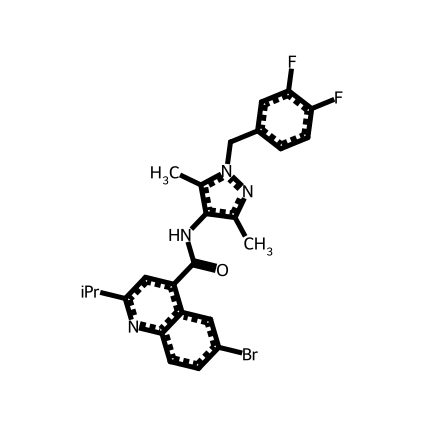 Cc1nn(Cc2ccc(F)c(F)c2)c(C)c1NC(=O)c1cc(C(C)C)nc2ccc(Br)cc12